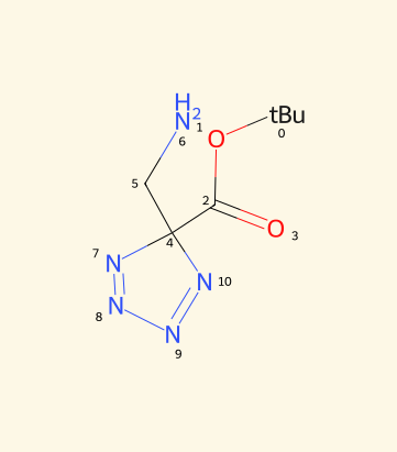 CC(C)(C)OC(=O)C1(CN)N=NN=N1